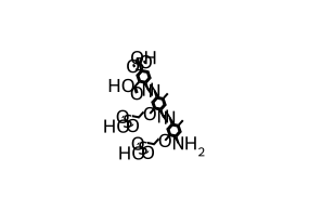 Cc1cc(N)c(OCCCS(=O)(=O)O)cc1N=Nc1cc(C)c(N=Nc2ccc(S(=O)(=O)O)cc2C(=O)O)cc1OCCCS(=O)(=O)O